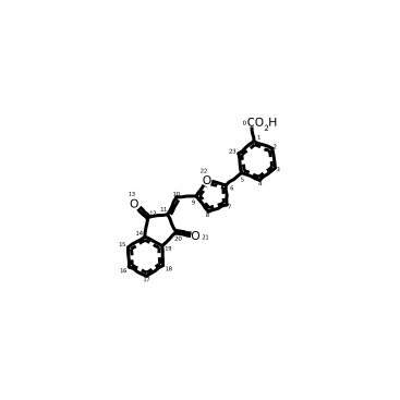 O=C(O)c1cccc(-c2ccc(C=C3C(=O)c4ccccc4C3=O)o2)c1